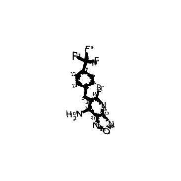 Nc1c(Cc2ccc(C(F)(F)F)cc2)c(Br)nc2nonc12